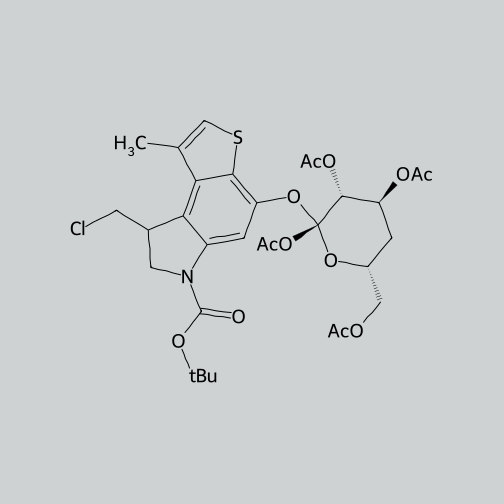 CC(=O)OC[C@H]1C[C@H](OC(C)=O)[C@@H](OC(C)=O)[C@@](OC(C)=O)(Oc2cc3c(c4c(C)csc24)C(CCl)CN3C(=O)OC(C)(C)C)O1